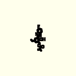 C=C(C)C(=O)OCc1cc(CC)cc(-n2nc3ccc(F)cc3n2)c1O